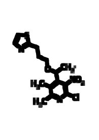 [CH2]C(OCCCc1nccs1)c1c(C)c(C)nc(Cl)c1[N+](=O)[O-]